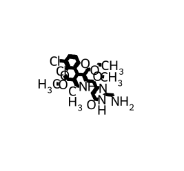 CCOC(=O)C1=C(C(OC)c2cc(=O)[nH]c(CN)n2)NC(C)=C(C(=O)OC)C1c1cccc(Cl)c1Cl